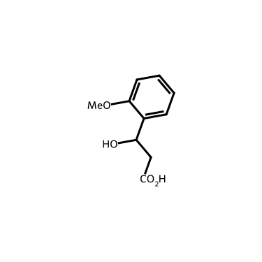 COc1ccccc1C(O)CC(=O)O